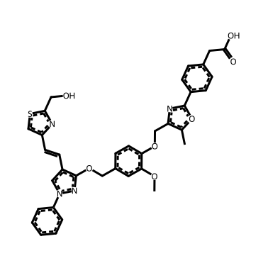 COc1cc(COc2nn(-c3ccccc3)cc2C=Cc2csc(CO)n2)ccc1OCc1nc(-c2ccc(CC(=O)O)cc2)oc1C